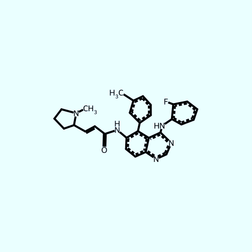 Cc1cccc(-c2c(NC(=O)C=CC3CCCN3C)ccc3ncnc(Nc4ccccc4F)c23)c1